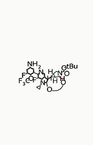 CC(C)(C)OC(=O)N1C[C@@H]2[C@H]3c4c(n(C5CC5)c5c(F)c(-c6cc(N)cc(F)c6OC(F)(F)F)ncc45)COCCCCOC[C@@H]1[C@H]23